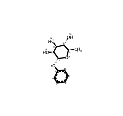 C[C@H]1O[C@H](Oc2ccccc2)[C@@H](O)[C@@H](O)[C@@H]1O